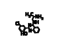 CC(N)CNc1nc(-c2cc(Cl)ccc2O)nc2ccccc12